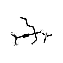 CCCCC(C#CC(=O)O)(CC)O[SiH](C)C